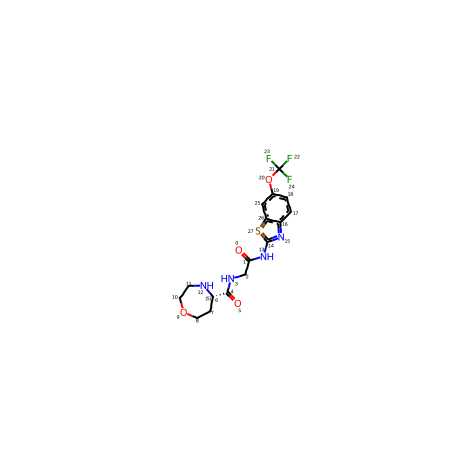 O=C(CNC(=O)[C@@H]1CCOCCN1)Nc1nc2ccc(OC(F)(F)F)cc2s1